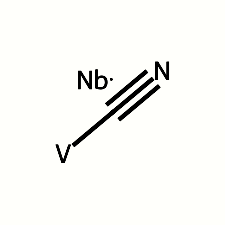 N#[C][V].[Nb]